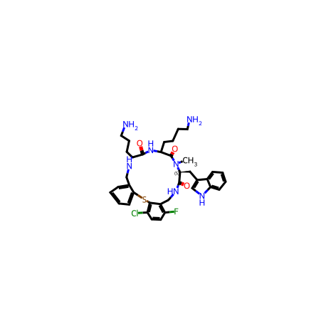 CN1C(=O)C(CCCCN)NC(=O)C(CCCN)NCc2ccccc2Sc2c(Cl)ccc(F)c2CNC(=O)[C@@H]1Cc1c[nH]c2ccccc12